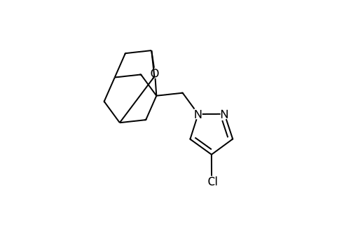 Clc1cnn(CC23CC4CC(CC(C4)O2)C3)c1